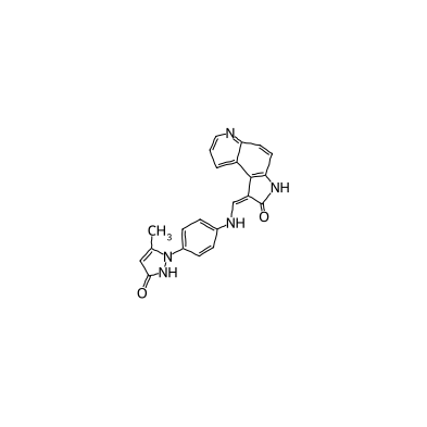 Cc1cc(=O)[nH]n1-c1ccc(NC=C2C(=O)Nc3ccc4ncccc4c32)cc1